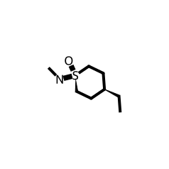 CC[C@H]1CC[S@](=O)(=NC)CC1